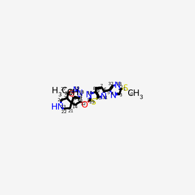 CSc1cnc(-c2ccc3nc(OCCC4(c5cnno5)CCNCC4C(C)C)sc3n2)cn1